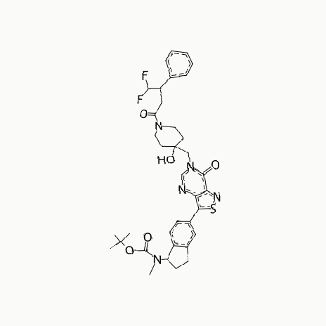 CN(C(=O)OC(C)(C)C)C1CCc2cc(-c3snc4c(=O)n(CC5(O)CCN(C(=O)CC(c6ccccc6)C(F)F)CC5)cnc34)ccc21